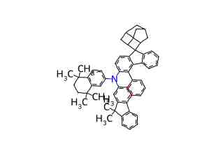 CC1(C)CCC(C)(C)c2cc(N(c3ccc4c(c3)C(C)(C)c3ccccc3-4)c3ccc4c(c3-c3ccccc3)-c3ccccc3C43C4CC5CC6CC3C64C5)ccc21